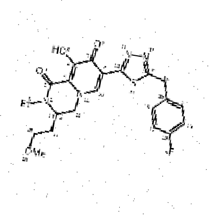 CCN1C(=O)c2c(O)c(=O)c(-c3nnc(Cc4ccc(F)cc4)s3)cn2C[C@H]1CCOC